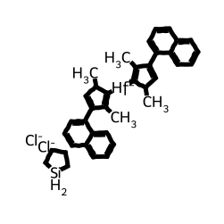 C1CC[SiH2]C1.CC1=[C]([Hf+2][C]2=C(C)C(c3cccc4ccccc34)=CC2C)C(C)C=C1c1cccc2ccccc12.[Cl-].[Cl-]